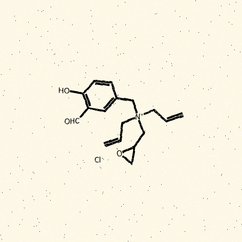 C=CC[N+](CC=C)(Cc1ccc(O)c(C=O)c1)CC1CO1.[Cl-]